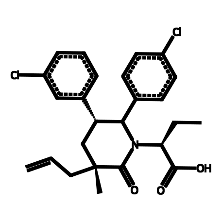 C=CC[C@]1(C)C[C@H](c2cccc(Cl)c2)C(c2ccc(Cl)cc2)N([C@@H](CC)C(=O)O)C1=O